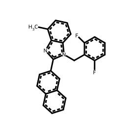 Cc1cccc2c1nc(-c1ccc3ccccc3c1)n2Cc1c(F)cccc1F